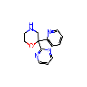 c1ccc(C2(c3ncccn3)CNCCO2)nc1